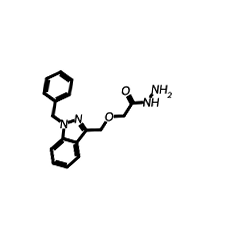 NNC(=O)COCc1nn(Cc2ccccc2)c2ccccc12